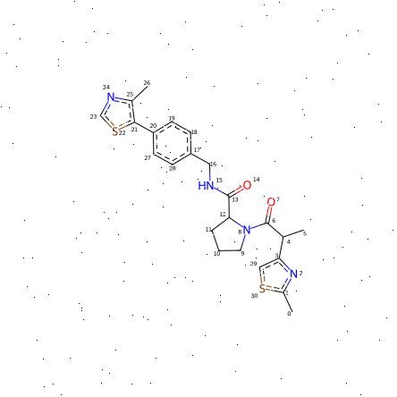 Cc1nc(C(C)C(=O)N2CCCC2C(=O)NCc2ccc(-c3scnc3C)cc2)cs1